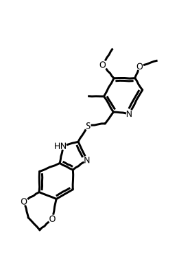 COc1cnc(CSc2nc3cc4c(cc3[nH]2)OCCO4)c(C)c1OC